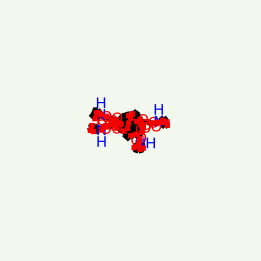 O=C(NC12CC3CC(CC(C3)C1)C2)OCCOC(=O)C1(C(=O)OCCOC(=O)NC23CC4CC(CC(C4)C2)C3)C23C=CC4=C5C=CC6=C7CCC8C9C=CC%10=C%11C%12=C%13C%14=C(C2C4=C2C%14=C4C%13=C(C%119)C89C(C(=O)OCCOC(=O)NC8%11CC%13CC(CC(C%13)C8)C%11)(C(=O)OCCOC(=O)NC8%11CC%13CC(CC(C%13)C8)C%11)C79C4C6C52)C2C%12C%10C=CC213